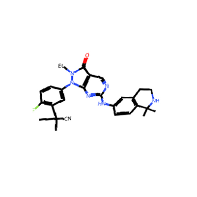 CCn1c(=O)c2cnc(Nc3ccc4c(c3)CCNC4(C)C)nc2n1-c1ccc(F)c(C(C)(C)C#N)c1